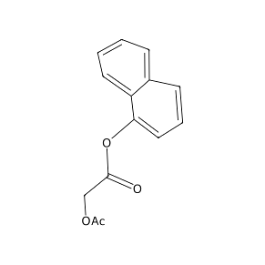 CC(=O)OCC(=O)Oc1cccc2ccccc12